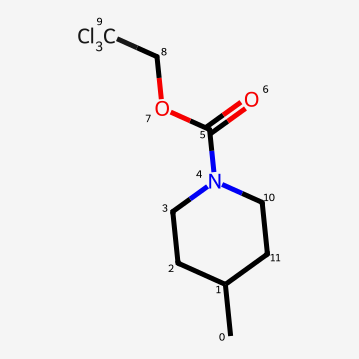 CC1CCN(C(=O)OCC(Cl)(Cl)Cl)CC1